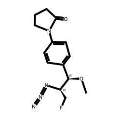 CO[C@H](c1ccc(N2CCCC2=O)cc1)[C@@H](CF)N=[N+]=[N-]